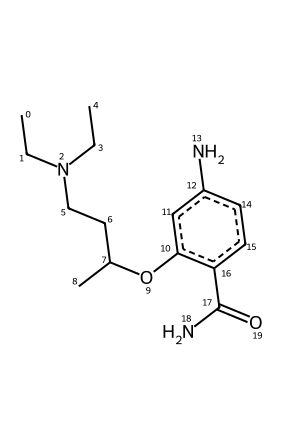 CCN(CC)CCC(C)Oc1cc(N)ccc1C(N)=O